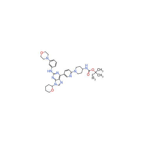 CC(C)(C)OC(=O)NC1CCN(c2ccc(-c3nc(Nc4cccc(N5CCOCC5)c4)nc4c3ncn4C3CCCCO3)cn2)CC1